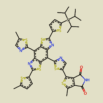 Cc1ccc(-c2nc3c(-c4ncc(C)s4)c4sc(-c5ccc([Si](C(C)C)(C(C)C)C(C)C)s5)nc4c(-c4ncc(-c5sc(C)c6c5C(=O)NC6=O)s4)c3s2)s1